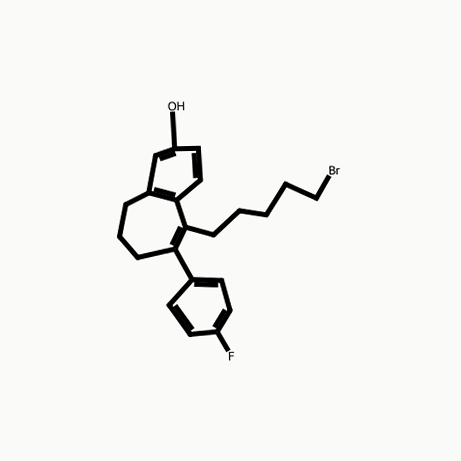 Oc1ccc2c(c1)CCCC(c1ccc(F)cc1)=C2CCCCCBr